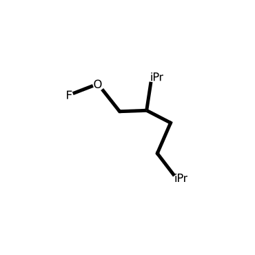 CC(C)CCC(COF)C(C)C